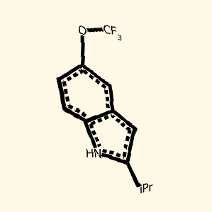 CC(C)c1cc2cc(OC(F)(F)F)ccc2[nH]1